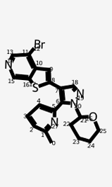 Cc1cccc(-c2c(-c3cc4c(Br)cncc4s3)cnn2C2CCCCO2)n1